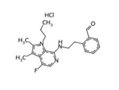 CCCn1c(C)c(C)c2c(F)cnc(NCCc3ccccc3C=O)c21.Cl